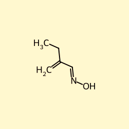 C=C(/C=N/O)CC